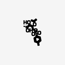 Cc1ccc(S(=O)(=O)OCC(OC(C)C)[C@H](O)[C@@H](C)O)cc1